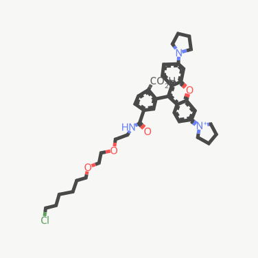 O=C(NCCOCCOCCCCCCCl)c1ccc(C(=O)O)c(-c2c3ccc(=[N+]4CCCC4)cc-3oc3cc(N4CCCC4)ccc23)c1